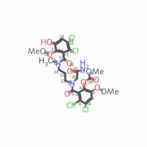 COOc1cc(Cl)c(Cl)c(C(=O)N(CCCN(C)C(=O)c2c(Cl)c(Cl)cc(O)c2OOC)CC(N)=O)c1OC(=O)OC